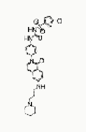 O=C(Nc1ccc(-n2ccc3cc(NCCCN4CCCCC4)ccc3c2=O)cc1)NS(=O)(=O)c1ccc(Cl)s1